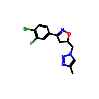 Cc1cn(CC2CC(c3ccc(Br)c(F)c3)=NO2)nn1